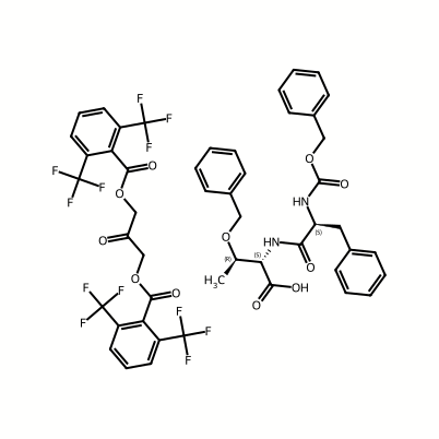 C[C@@H](OCc1ccccc1)[C@H](NC(=O)[C@H](Cc1ccccc1)NC(=O)OCc1ccccc1)C(=O)O.O=C(COC(=O)c1c(C(F)(F)F)cccc1C(F)(F)F)COC(=O)c1c(C(F)(F)F)cccc1C(F)(F)F